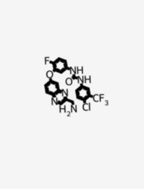 NCc1cnc2ccc(Oc3cc(NC(=O)Nc4ccc(Cl)c(C(F)(F)F)c4)ccc3F)cc2n1